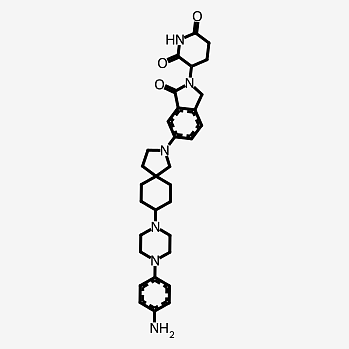 Nc1ccc(N2CCN(C3CCC4(CC3)CCN(c3ccc5c(c3)C(=O)N(C3CCC(=O)NC3=O)C5)C4)CC2)cc1